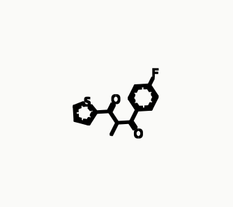 CC(C(=O)c1ccc(F)cc1)C(=O)c1cccs1